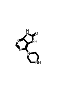 O=c1[nH]c2ncnc(N3CCNCC3)c2[nH]1